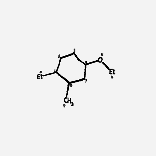 [CH2]CC1CCC(OCC)CC1C